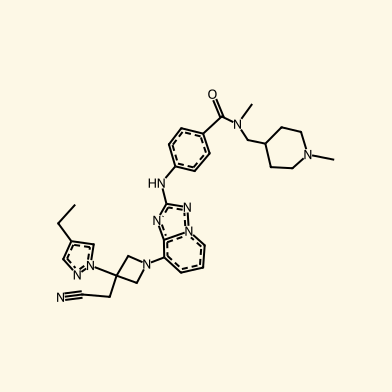 CCc1cnn(C2(CC#N)CN(c3cccn4nc(Nc5ccc(C(=O)N(C)CC6CCN(C)CC6)cc5)nc34)C2)c1